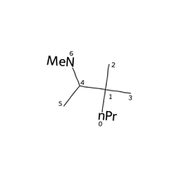 CCCC(C)(C)C(C)NC